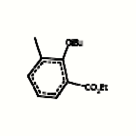 CCOC(=O)c1cccc(C)c1OCC(C)C